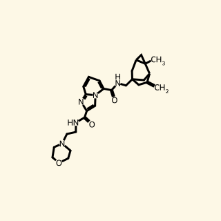 C=C1CC2(CNC(=O)c3cccc4nc(C(=O)NCCN5CCOCC5)cn34)CC3CC3(C)C1C2